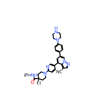 CCC1(C(=O)NC(C)C)CCN(c2ccc(-c3cc(-c4ccc(N5CCNCC5)cc4)cn4ncc(C#N)c34)cn2)CC1